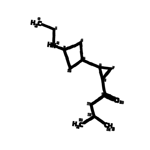 CCNC1CC(C2CC2C(=O)CC(C)C)C1